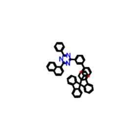 C1=CCC2(c3cccc(-c4cccc(-c5nc(-c6ccccc6)nc(-c6cccc7ccccc67)n5)c4)c3)C(=C1)c1ccccc1C21c2ccccc2-c2ccccc21